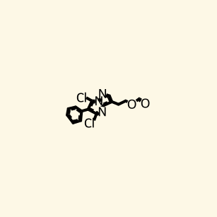 O=COCCc1cnn2c(Cl)c(-c3ccccc3)c(Cl)nc12